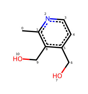 Cc1nccc(CO)c1CO